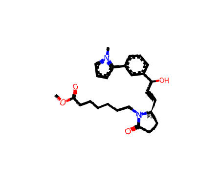 COC(=O)CCCCCCN1C(=O)CC[C@@H]1C=CC(O)c1cccc(-c2cccn2C)c1